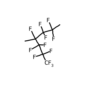 CC(F)(F)C(F)(F)C(C)(F)C(F)(F)C(F)(F)C(F)(F)F